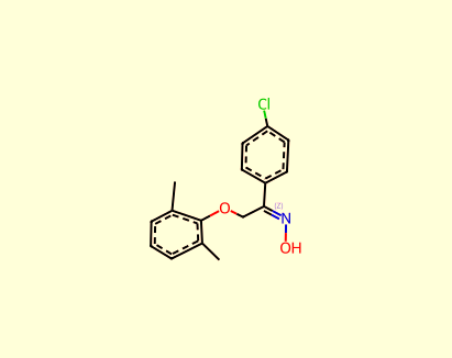 Cc1cccc(C)c1OC/C(=N\O)c1ccc(Cl)cc1